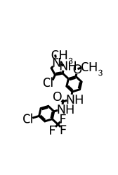 COc1ccc(NC(=O)Nc2ccc(Cl)cc2C(F)(F)F)cc1C1=C(Cl)CN(C)N1